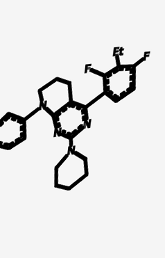 CCc1c(F)ccc(-c2nc(N3CCCCC3)nc3c2CCCN3c2ccncc2)c1F